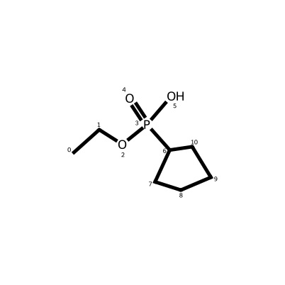 CCOP(=O)(O)C1CCCC1